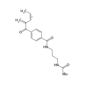 C=C(/C=C\C)C(=O)c1ccc(C(=O)NCCCNC(=O)C(C)(C)C)cc1